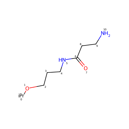 CC(C)OCCCNC(=O)CCN